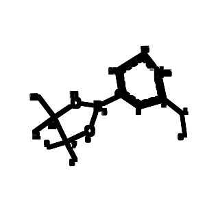 CCc1cc(B2OC(C)(C)C(C)(C)O2)ccn1